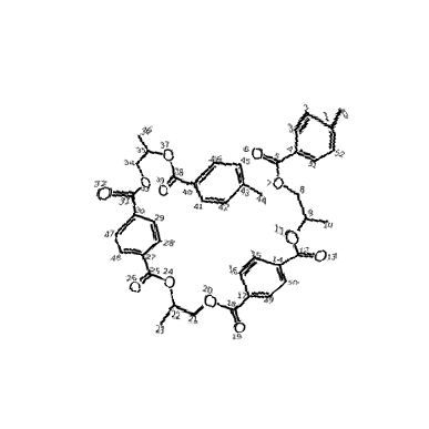 Cc1ccc(C(=O)OCC(C)OC(=O)c2ccc(C(=O)OCC(C)OC(=O)c3ccc(C(=O)OCC(C)OC(=O)c4ccc(C)cc4)cc3)cc2)cc1